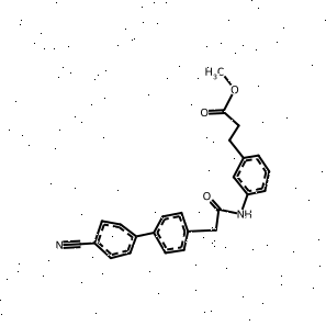 COC(=O)CCc1cccc(NC(=O)Cc2ccc(-c3ccc(C#N)cc3)cc2)c1